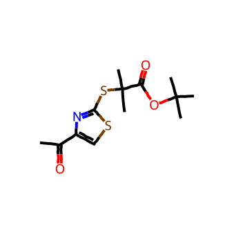 CC(=O)c1csc(SC(C)(C)C(=O)OC(C)(C)C)n1